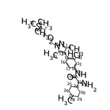 Cc1nn(COCC[Si](C)(C)C)c(C)c1-c1ccc(NC(=O)[C@@H](N)C2CCC(C)CC2)cc1.Cl